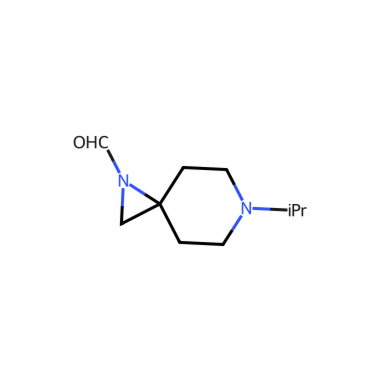 CC(C)N1CCC2(CC1)CN2C=O